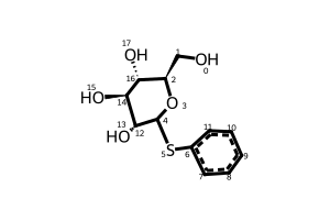 OC[C@H]1OC(Sc2ccccc2)[C@H](O)[C@@H](O)[C@@H]1O